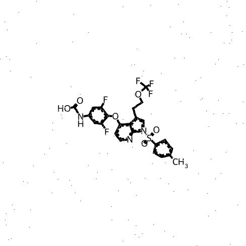 Cc1ccc(S(=O)(=O)n2cc(CCOC(F)(F)F)c3c(Oc4c(F)cc(NC(=O)O)cc4F)ccnc32)cc1